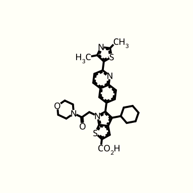 Cc1nc(C)c(-c2ccc3cc(-c4c(C5CCCCC5)c5cc(C(=O)O)sc5n4CC(=O)N4CCOCC4)ccc3n2)s1